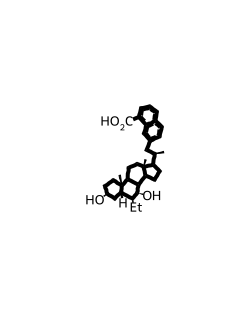 CC[C@H]1[C@@H](O)C2C3CCC([C@H](C)Cc4ccc5cccc(C(=O)O)c5c4)[C@@]3(C)CCC2[C@@]2(C)CC[C@@H](O)C[C@@H]12